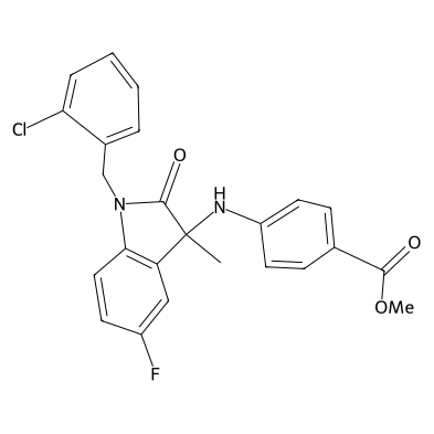 COC(=O)c1ccc(NC2(C)C(=O)N(Cc3ccccc3Cl)c3ccc(F)cc32)cc1